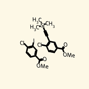 COC(=O)c1ccc(Cl)c(C#C[Si](C)(C)C)c1.COC(=O)c1ccc(Cl)c(I)c1